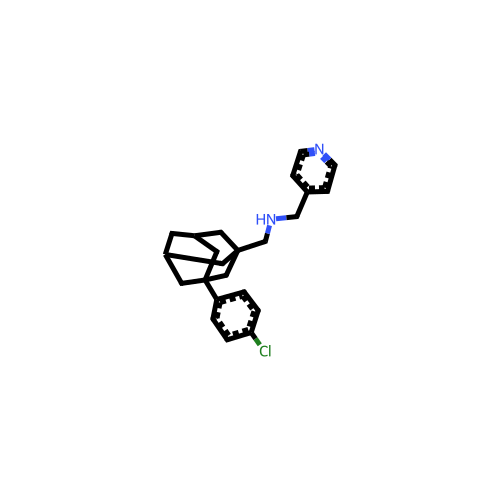 Clc1ccc(C23CC4CC(CC(CNCc5ccncc5)(C4)C2)C3)cc1